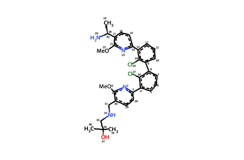 COc1nc(-c2cccc(-c3cccc(-c4ccc([C@H](C)N)c(OC)n4)c3Cl)c2Cl)ccc1CNCC(C)(C)O